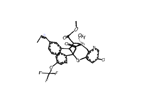 C/C=C\c1cccc(C2C(C(=O)OC)[C@]3(O)C(=O)C2(c2ccc(OC(F)(F)F)cc2)Oc2cc(Cl)cnc23)c1